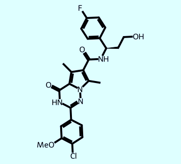 COc1cc(-c2nn3c(C)c(C(=O)N[C@H](CCO)c4ccc(F)cc4)c(C)c3c(=O)[nH]2)ccc1Cl